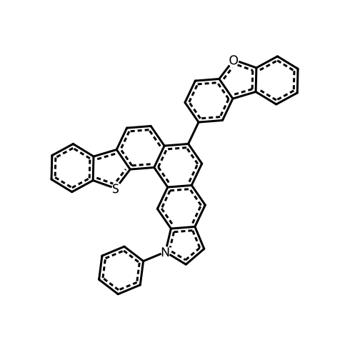 c1ccc(-n2ccc3cc4cc(-c5ccc6oc7ccccc7c6c5)c5ccc6c7ccccc7sc6c5c4cc32)cc1